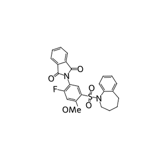 COc1cc(F)c(N2C(=O)c3ccccc3C2=O)cc1S(=O)(=O)N1CCCCc2ccccc21